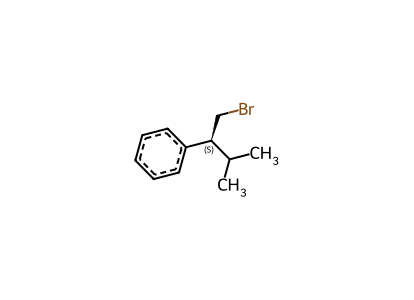 CC(C)[C@H](CBr)c1ccccc1